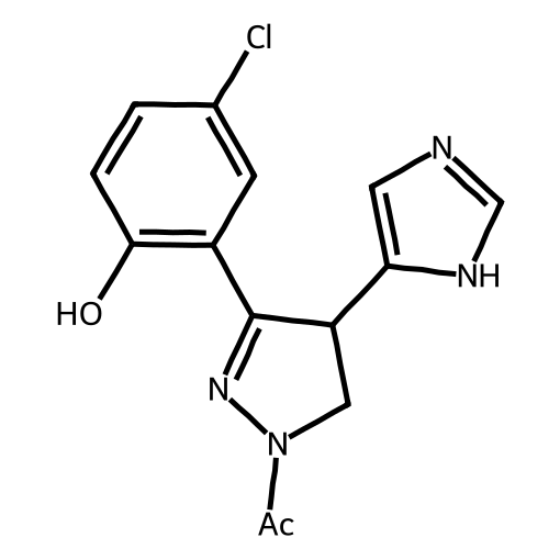 CC(=O)N1CC(c2cnc[nH]2)C(c2cc(Cl)ccc2O)=N1